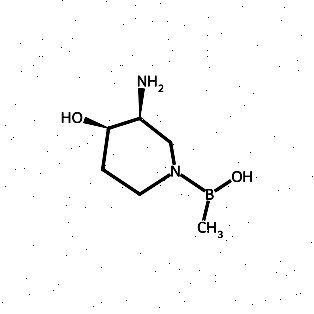 CB(O)N1CC[C@@H](O)[C@@H](N)C1